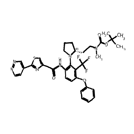 CN(CC[C@H]1CCCN1c1c(NC(=O)c2csc(-c3ccnnc3)n2)ccc(Oc2ccccc2)c1C(F)(F)F)C(=O)OC(C)(C)C